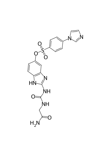 NC(=O)CNC(=O)Nc1nc2cc(OS(=O)(=O)c3ccc(-n4ccnc4)cc3)ccc2[nH]1